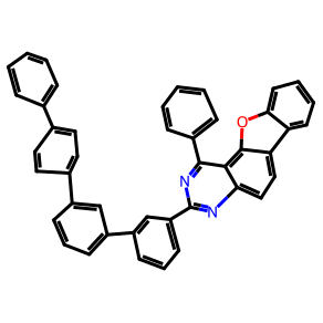 c1ccc(-c2ccc(-c3cccc(-c4cccc(-c5nc(-c6ccccc6)c6c(ccc7c8ccccc8oc76)n5)c4)c3)cc2)cc1